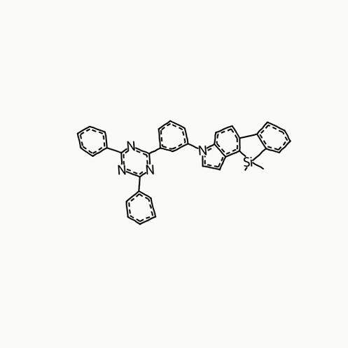 C[Si]1(C)c2ccccc2-c2ccc3c(ccn3-c3cccc(-c4nc(-c5ccccc5)nc(-c5ccccc5)n4)c3)c21